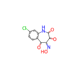 O=C1Nc2cc(Cl)ccc2C(=O)C(=NO)C1=O